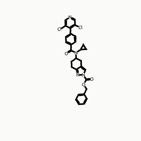 O=C(c1ccc(-c2c(Cl)cncc2Cl)cc1)N(C1CC1)C1CCc2nn(C(=O)OCc3ccccc3)cc2C1